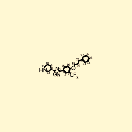 FC(F)(F)c1cc(-c2noc([C@@H]3CCCNC3)n2)ccc1OCCCc1ccccc1